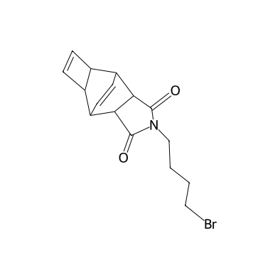 O=C1C2C3C=CC(C4C=CC43)C2C(=O)N1CCCCBr